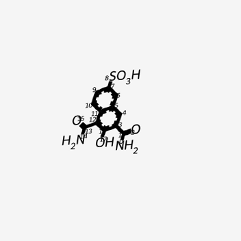 NC(=O)c1cc2cc(S(=O)(=O)O)ccc2c(C(N)=O)c1O